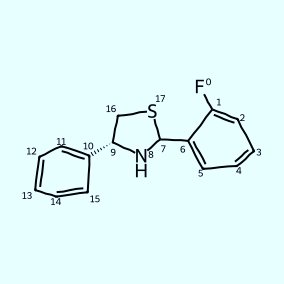 Fc1ccccc1C1N[C@H](c2ccccc2)CS1